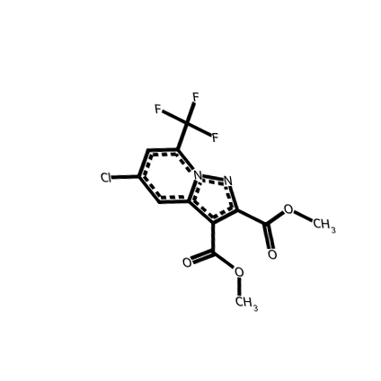 COC(=O)c1nn2c(C(F)(F)F)cc(Cl)cc2c1C(=O)OC